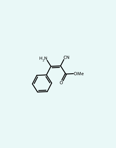 COC(=O)C(C#N)=C(N)c1ccccc1